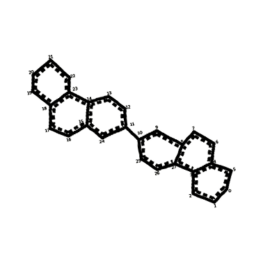 c1ccc2c(c1)ccc1cc(-c3ccc4c(ccc5ccccc54)c3)ccc12